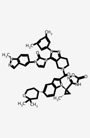 Cc1cc(C)cc(-n2nc3c(c2-n2ccn(-c4ccc5c(cnn5C)c4)c2=O)CN(C(=O)c2cc4cc([C@H]5CCOC(C)(C)C5)ccc4n2[C@@]2(c4noc(=O)[nH]4)C[C@@H]2C)CC3)c1